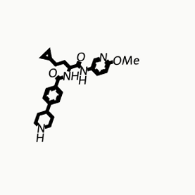 COc1ccc(NC(=O)C(CCC2CC2)NC(=O)c2ccc(C3CCNCC3)cc2)cn1